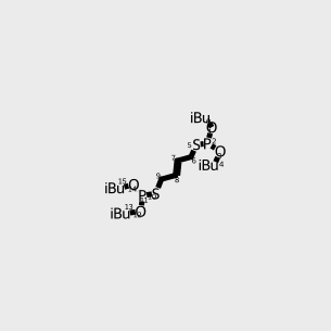 CCC(C)OP(OC(C)CC)SCC=CCSP(OC(C)CC)OC(C)CC